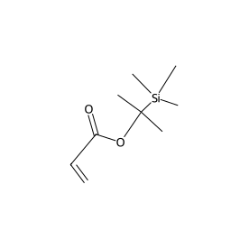 C=CC(=O)OC(C)(C)[Si](C)(C)C